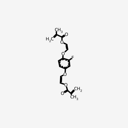 C=C(C)C(=O)O/C=C\Oc1ccc(O/C=C\OC(=O)C(=C)C)c(F)c1